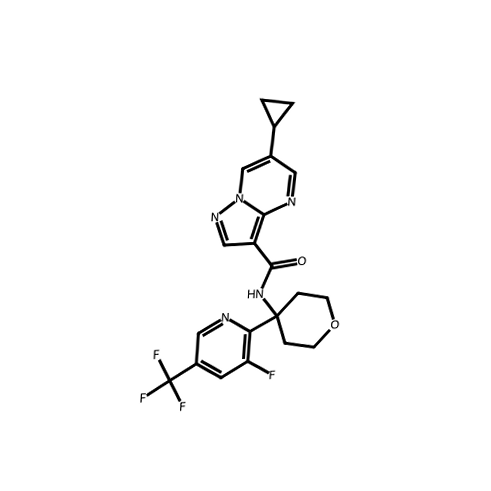 O=C(NC1(c2ncc(C(F)(F)F)cc2F)CCOCC1)c1cnn2cc(C3CC3)cnc12